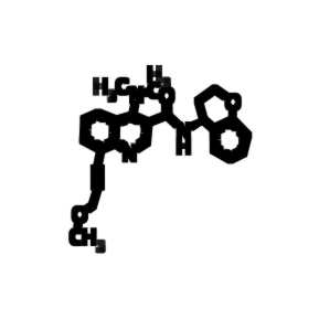 COCC#Cc1cccc2c(N(C)C)c(C(=O)N[C@H]3CCOc4ccccc43)cnc12